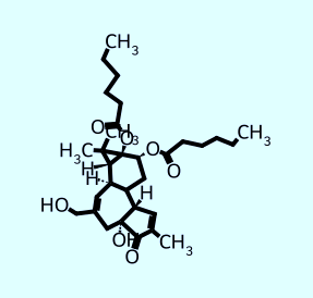 CCCCCC(=O)O[C@@H]1CC2[C@@H](C=C(CO)C[C@]3(O)C(=O)C(C)=C[C@@H]23)[C@@H]2C(C)(C)[C@@]21OC(=O)CCCCC